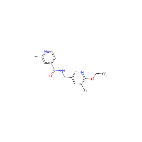 CCc1cc(CNC(=O)c2ccnc(C)c2)cnc1OCC(F)(F)F